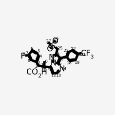 C[C@](Cc1cccc(F)c1)(C(=O)O)c1ccnc2c(-c3ccc(C(F)(F)F)cc3)c(CS(C)(=O)=O)nn12